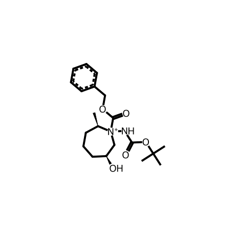 C[C@@H]1CCC[C@H](O)C[N+]1(NC(=O)OC(C)(C)C)C(=O)OCc1ccccc1